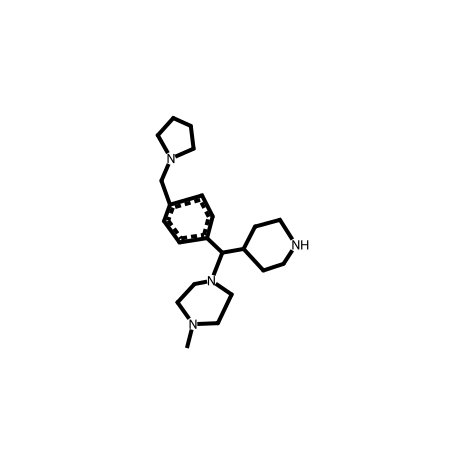 CN1CCN(C(c2ccc(CN3CCCC3)cc2)C2CCNCC2)CC1